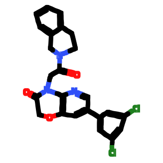 O=C(CN1C(=O)COc2cc(-c3cc(Cl)cc(Cl)c3)cnc21)N1CCc2ccccc2C1